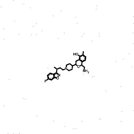 Cc1ccc2c(c1O)CC(C1CCN(CCC(C)c3noc4cc(F)ccc34)CC1)OC2CN